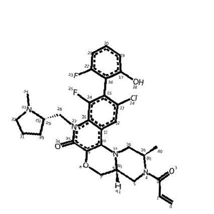 C=CC(=O)N1C[C@@H]2COc3c(c4cc(Cl)c(-c5c(O)cccc5F)c(F)c4n(C[C@@H]4CCCN4C)c3=O)N2C[C@H]1C